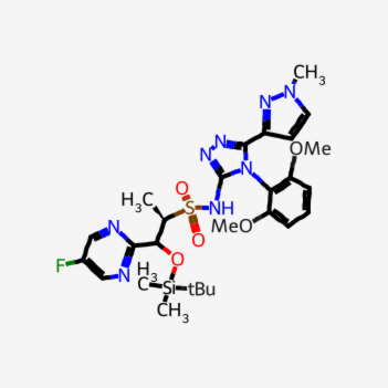 COc1cccc(OC)c1-n1c(NS(=O)(=O)[C@H](C)C(O[Si](C)(C)C(C)(C)C)c2ncc(F)cn2)nnc1-c1ccn(C)n1